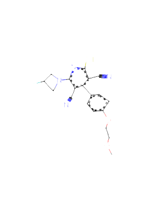 COCCOc1ccc(-c2c(C#N)c(S)nc(N3CC(F)C3)c2C#N)cc1